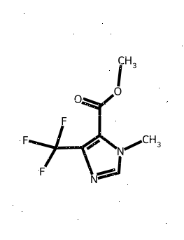 COC(=O)c1c(C(F)(F)F)ncn1C